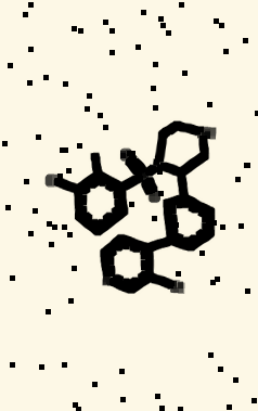 CCc1cnccc1-c1cccc(C2CNCCN2S(=O)(=O)c2cccc(Cl)c2C)c1